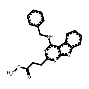 COC(=O)CCc1nc(NCc2ccccc2)c2c(n1)sc1ccccc12